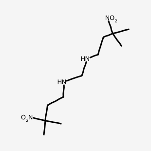 CC(C)(CCNCNCCC(C)(C)[N+](=O)[O-])[N+](=O)[O-]